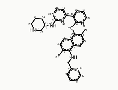 Cc1ccc2c(NCc3ccccn3)c(F)ccc2c1Oc1ncccc1-c1ccnc(N[C@H]2CCCNC2)n1